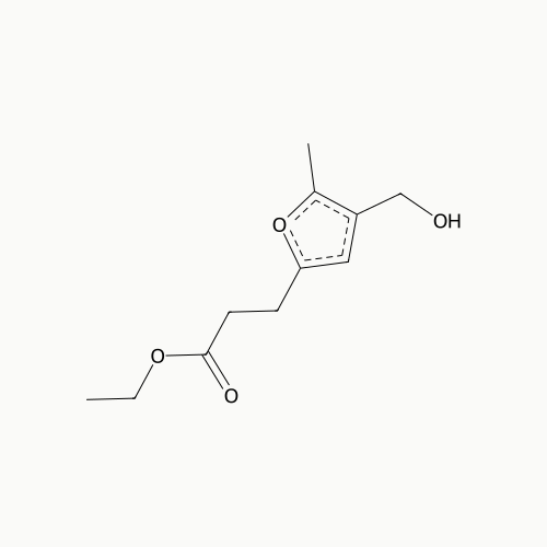 CCOC(=O)CCc1cc(CO)c(C)o1